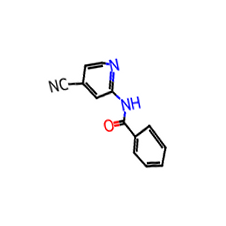 N#Cc1ccnc(NC(=O)c2ccccc2)c1